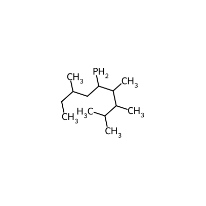 CCC(C)CC(P)C(C)C(C)C(C)C